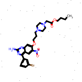 CCCCOC(=O)CN1CCN(CCCOc2cc3nc(N)nc(-c4cccc(Br)c4)c3cc2[N+](=O)[O-])CC1